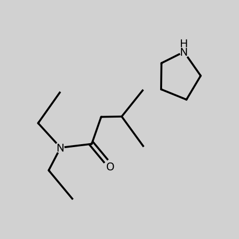 C1CCNC1.CCN(CC)C(=O)CC(C)C